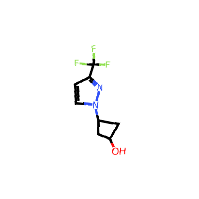 OC1CC(n2ccc(C(F)(F)F)n2)C1